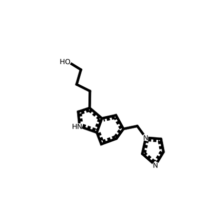 OCCCc1c[nH]c2ccc(Cn3ccnc3)cc12